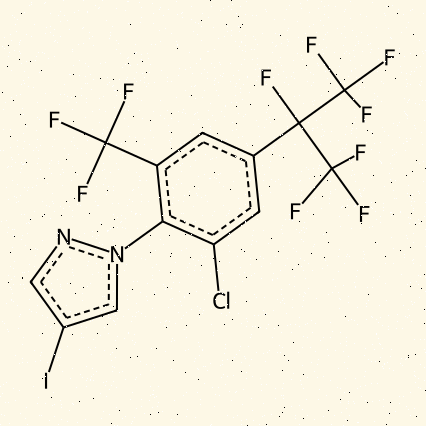 FC(F)(F)c1cc(C(F)(C(F)(F)F)C(F)(F)F)cc(Cl)c1-n1cc(I)cn1